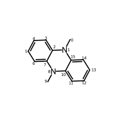 CN1c2ccccc2N(C)c2ccccc21